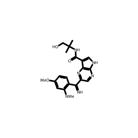 CNc1cc(OC)ccc1C(=N)c1cnc2[nH]cc(C(=O)NC(C)(C)CO)c2n1